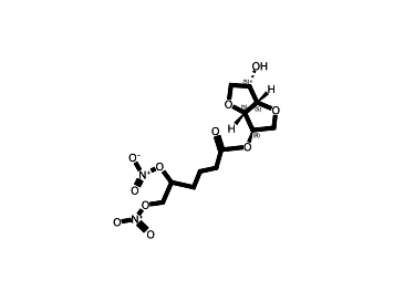 O=C(CCCC(CO[N+](=O)[O-])O[N+](=O)[O-])O[C@@H]1CO[C@@H]2[C@H]1OC[C@@H]2O